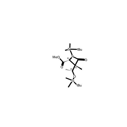 COC(=O)[C@@H]1N([Si](C)(C)C(C)(C)C)C(=O)[C@]1(C)[C@@H](C)O[Si](C)(C)C(C)(C)C